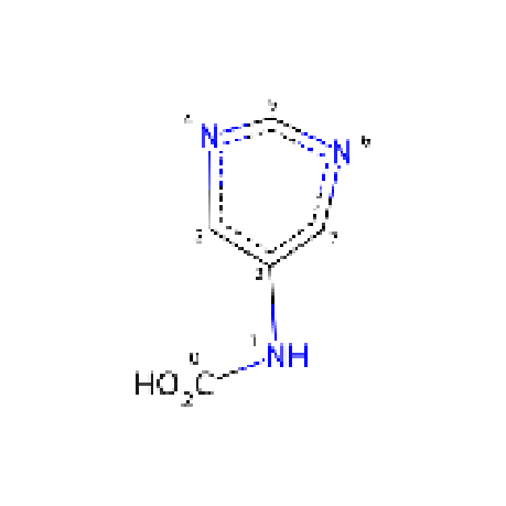 O=C(O)Nc1cncnc1